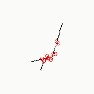 CCCCCCCCCCCCCCOC(=O)CCCCCCCC(=O)OCC(CO)COC(=O)CCC(OCCCCCCCC)OCCCCCCCC